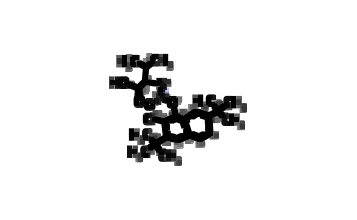 CC(C)C(/N=[P+](\[O-])Oc1c(Cl)c(C(C)(C)C)cc2ccc(C(C)(C)C)cc12)C(=O)O